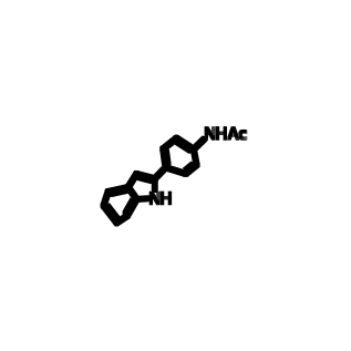 CC(=O)Nc1ccc(-c2cc3ccccc3[nH]2)cc1